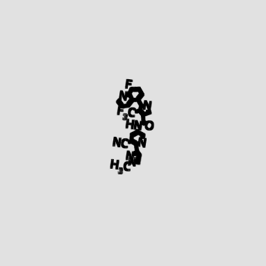 Cn1ccc(-c2ncc(NC(=O)C3=C(C(F)(F)F)C(c4ccc(F)c5ncccc45)N=C3)cc2C#N)n1